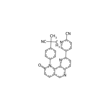 CC(C)(C#N)c1ccc(-n2c(=O)ccc3cnc4ccc(-c5ccc(C#N)nc5)nc4c32)cc1